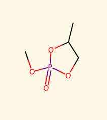 COP1(=O)OCC(C)O1